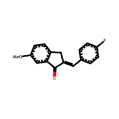 COc1ccc2c(c1)C(=O)C(=Cc1ccc(F)cc1)C2